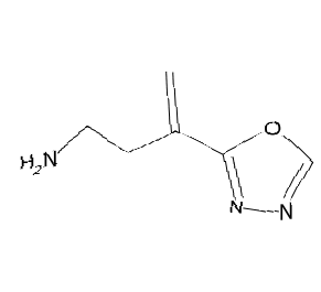 C=C(CCN)c1nnco1